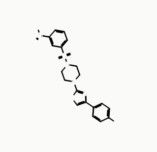 Cc1ccc(-c2csc(N3CCN(S(=O)(=O)c4cccc([N+](=O)[O-])c4)CC3)n2)cc1